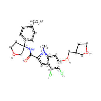 Cn1c(C(=O)NC2(c3ccc(C(=O)O)cc3)CCOC2)cc2c(Cl)c(Cl)c(OCC3CCOC3)cc21